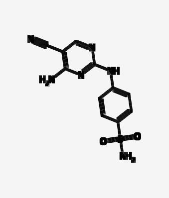 N#Cc1cnc(Nc2ccc(S(N)(=O)=O)cc2)nc1N